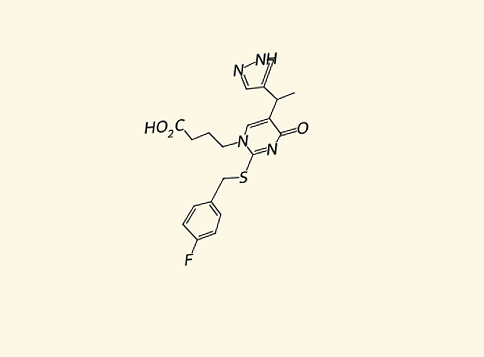 CC(c1cn[nH]c1)c1cn(CCCC(=O)O)c(SCc2ccc(F)cc2)nc1=O